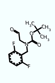 CC(C)(C)OC(=O)N(CC=O)Cc1c(F)cccc1F